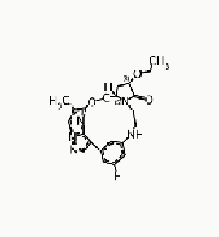 CCO[C@@H]1C[C@H]2COc3nc4c(cnn4cc3C)-c3cc(F)cc(c3)NCCN2C1=O